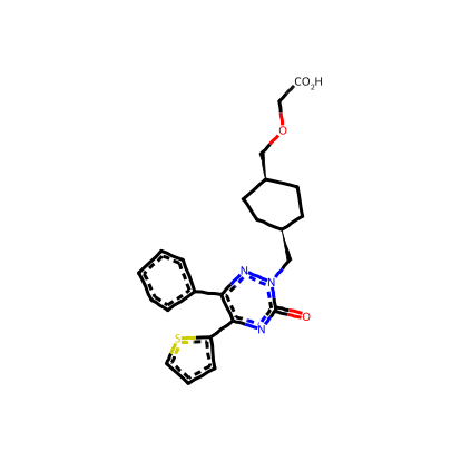 O=C(O)COC[C@H]1CC[C@@H](Cn2nc(-c3ccccc3)c(-c3cccs3)nc2=O)CC1